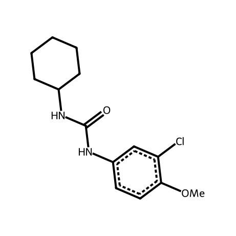 COc1ccc(NC(=O)NC2CCCCC2)cc1Cl